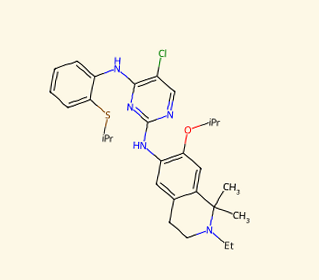 CCN1CCc2cc(Nc3ncc(Cl)c(Nc4ccccc4SC(C)C)n3)c(OC(C)C)cc2C1(C)C